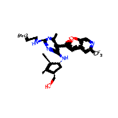 COCCNc1nc(C)c(-c2cc3cc(C(F)(F)F)ncc3o2)c(N[C@@H]2C[C@H](CO)[C@@H](C)[C@H]2C)n1